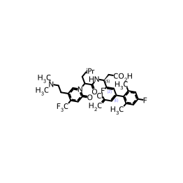 C=C(Cl)/C=C(\C=C(/F)[C@H](CC(=O)O)NC(=O)C(CC(C)C)n1cc(CCN(C)C)c(C(F)(F)F)cc1=O)c1c(C)cc(F)cc1C